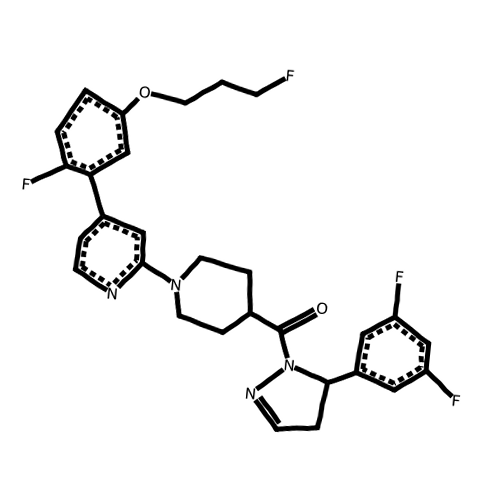 O=C(C1CCN(c2cc(-c3cc(OCCCF)ccc3F)ccn2)CC1)N1N=CCC1c1cc(F)cc(F)c1